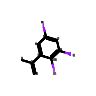 C=C(C)c1cc(I)cc(I)c1I